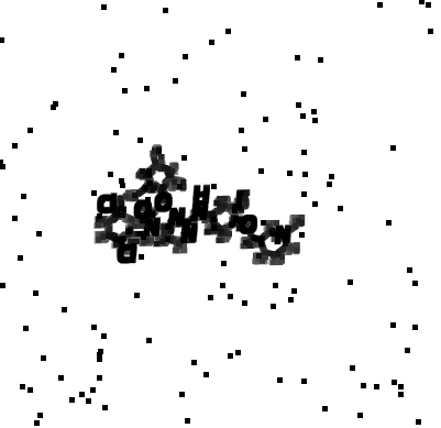 Cc1cc(C)c(OC(=O)N(Cc2cc(Cl)ccc2Cl)c2ccnc(Nc3ccc(OCC4CCCN(C)C4)c(F)c3)n2)c(C)c1